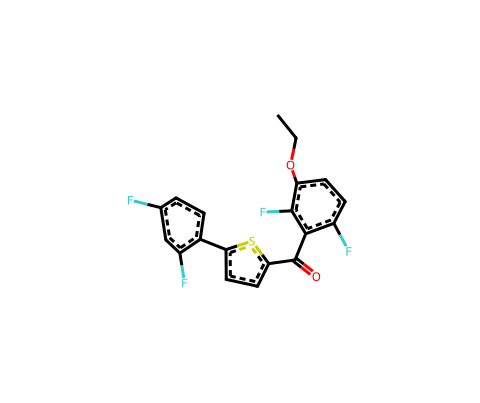 CCOc1ccc(F)c(C(=O)c2ccc(-c3ccc(F)cc3F)s2)c1F